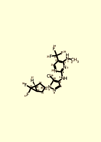 CNc1nc(Nc2cnn([C@@H]3CC4[C@@H](C3)C4(F)F)c2Cl)ncc1C(F)(F)F